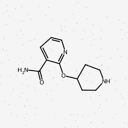 NC(=O)c1cccnc1OC1CCNCC1